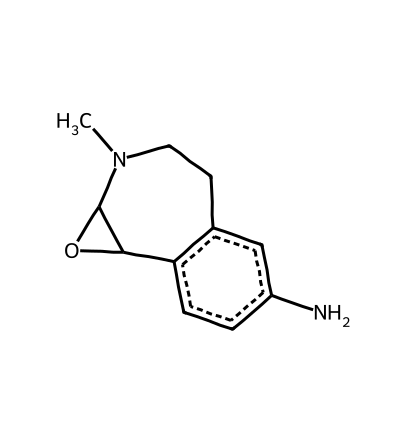 CN1CCc2cc(N)ccc2C2OC21